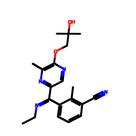 CC/N=C(/c1cnc(OCC(C)(C)O)c(C)n1)c1cccc(C#N)c1C